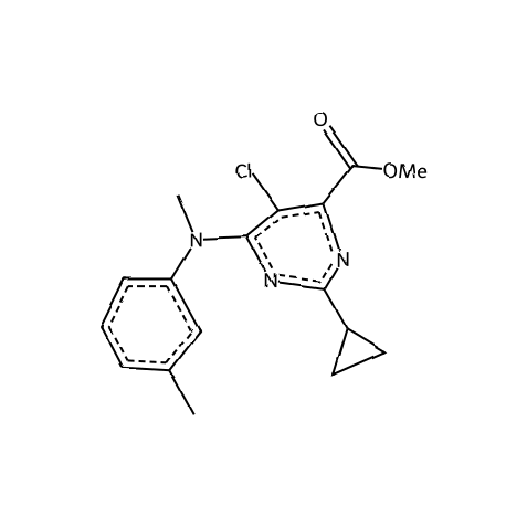 COC(=O)c1nc(C2CC2)nc(N(C)c2cccc(C)c2)c1Cl